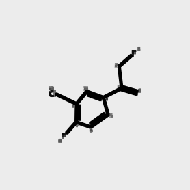 C=C(CF)c1ccc(F)c(Cl)c1